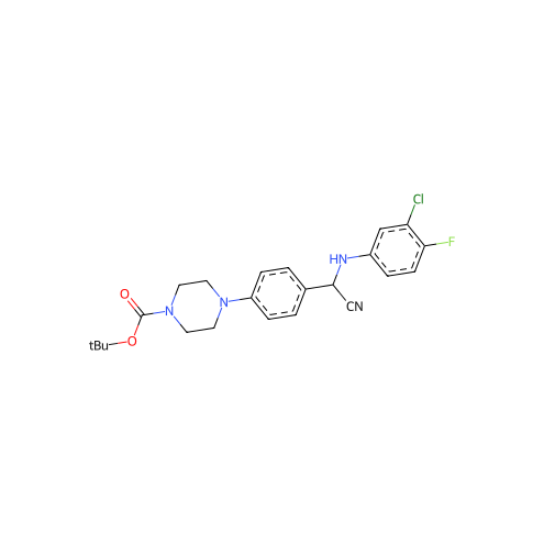 CC(C)(C)OC(=O)N1CCN(c2ccc(C(C#N)Nc3ccc(F)c(Cl)c3)cc2)CC1